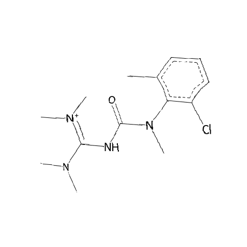 Cc1cccc(Cl)c1N(C)C(=O)NC(N(C)C)=[N+](C)C